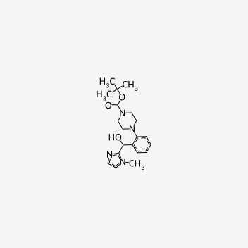 Cn1ccnc1C(O)c1ccccc1N1CCN(C(=O)OC(C)(C)C)CC1